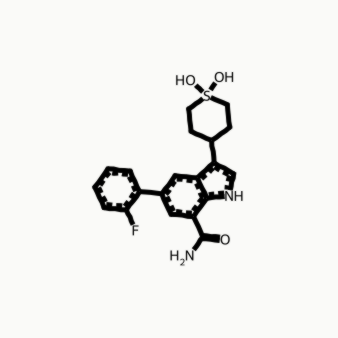 NC(=O)c1cc(-c2ccccc2F)cc2c(C3CCS(O)(O)CC3)c[nH]c12